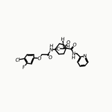 O=C(COc1ccc(Cl)c(F)c1)NC12CCC(C(=O)NCc3ccccn3)(CC1)[C@@H](O)C2